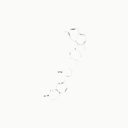 COc1ccc2ncc(F)c(C3(O)CCN(C[C@@H]4CN(c5ccc6c(c5)NC(=O)CS6)C(=O)O4)CC3)c2n1